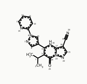 CC(C)c1c(-c2cnn(-c3ccccn3)c2)[nH]c2c(C#N)cnn2c1=O